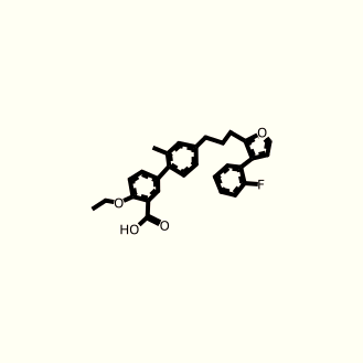 CCOc1ccc(-c2ccc(CCCc3occc3-c3ccccc3F)cc2C)cc1C(=O)O